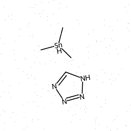 [CH3][SnH]([CH3])[CH3].c1nnn[nH]1